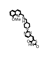 COc1cccc2ccc(CNCC3CCN(c4nccc(C=C5SC(=O)NC5=O)n4)CC3)nc12